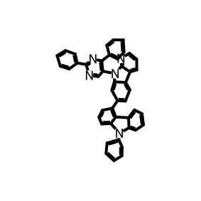 c1ccc(-c2ncc(-n3c4cc(-c5cccc6c5c5ccccc5n6-c5ccccc5)ccc4c4cccnc43)c(-c3ccccc3)n2)cc1